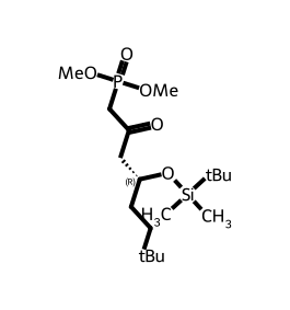 COP(=O)(CC(=O)C[C@@H](CCC(C)(C)C)O[Si](C)(C)C(C)(C)C)OC